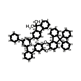 CC1(C)c2ccccc2-c2ccc(-c3nc(-c4ccccc4)nc(-c4ccccc4-c4ccc5c(c4)Oc4ccc6c(c4O5)-c4ccccc4C6(c4ccccc4)c4ccccc4)n3)cc21